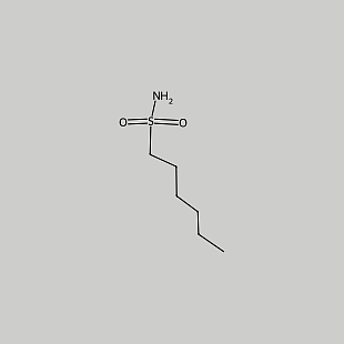 CCCCCCS(N)(=O)=O